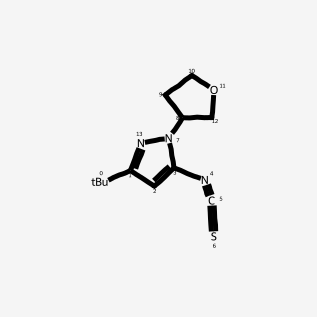 CC(C)(C)c1cc(N=C=S)n(C2CCOC2)n1